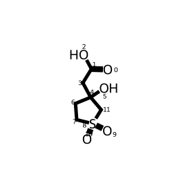 O=C(O)CC1(O)CCS(=O)(=O)C1